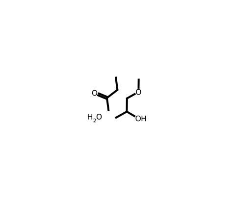 CCC(C)=O.COCC(C)O.O